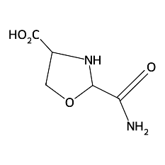 NC(=O)C1NC(C(=O)O)CO1